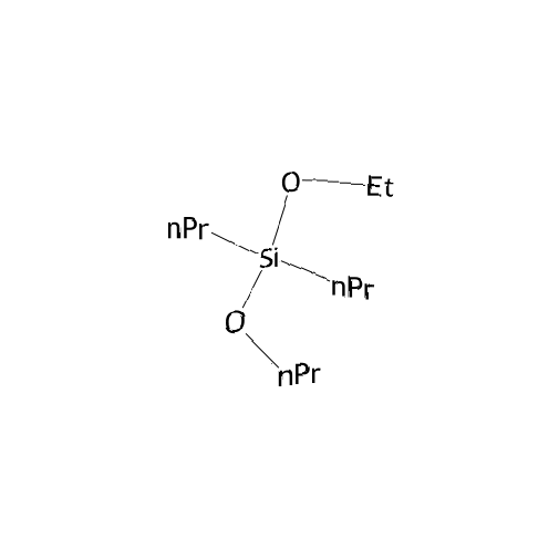 CCCO[Si](CCC)(CCC)OCC